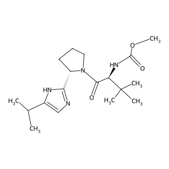 COC(=O)N[C@H](C(=O)N1CCC[C@H]1c1ncc(C(C)C)[nH]1)C(C)(C)C